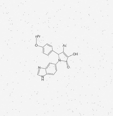 CCCOc1ccc(C2C(C(C)=O)=C(O)C(=O)N2c2ccc3[nH]cnc3c2)cc1